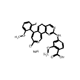 COc1cc(Nc2ncc3c(n2)C2=CN=C(Cl)C=C(c4c(F)cccc4OC)C2=CC3)ccc1C(=O)O.[NaH]